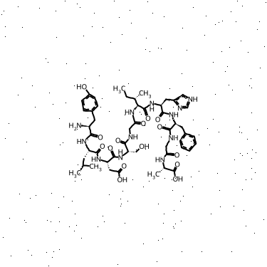 CC[C@H](C)[C@H](NC(=O)CNC(=O)[C@H](CO)NC(=O)[C@H](CC(=O)O)NC(=O)[C@H](CC(C)C)NC(=O)[C@@H](N)Cc1ccc(O)cc1)C(=O)N[C@@H](Cc1c[nH]cn1)C(=O)N[C@@H](Cc1ccccc1)C(=O)NCC(=O)N[C@@H](C)C(=O)O